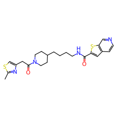 Cc1nc(CC(=O)N2CCC(CCCCNC(=O)c3cc4ccncc4s3)CC2)cs1